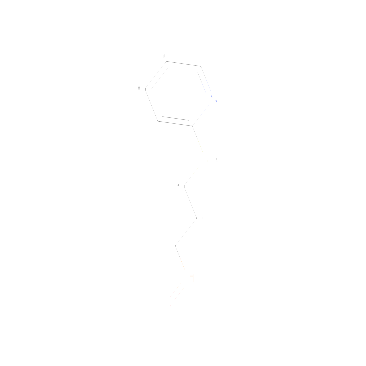 O=[PH]CCCSc1ccccn1